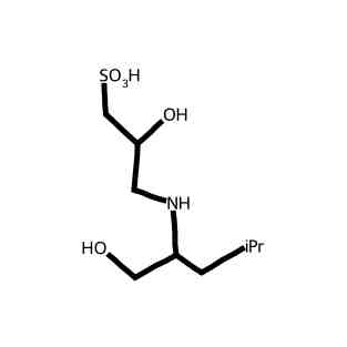 CC(C)CC(CO)NCC(O)CS(=O)(=O)O